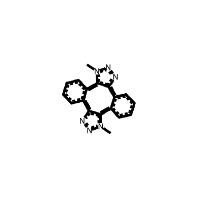 Cn1nnc2/c1=c1/cccc/c1=c1\nnn(C)\c1=c1/cccc/c1=2